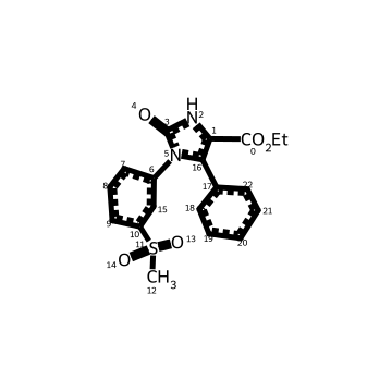 CCOC(=O)c1[nH]c(=O)n(-c2cccc(S(C)(=O)=O)c2)c1-c1ccccc1